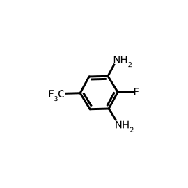 Nc1cc(C(F)(F)F)cc(N)c1F